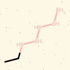 BBBBBCC